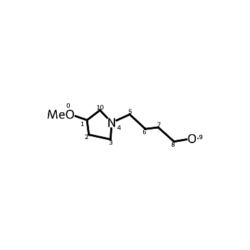 COC1CCN(CCCC[O])C1